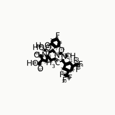 Cc1cc(F)ccc1[C@H]1C[C@@]2(CCN1C(=O)N(C)[C@H](C)c1cc(C(F)(F)F)cc(C(F)(F)F)c1)CC(C(=O)O)C(=O)N2C(=O)O